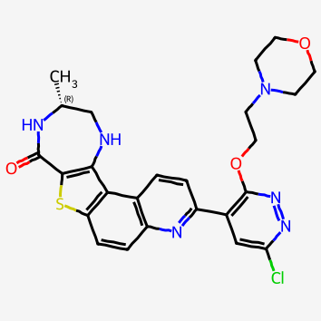 C[C@@H]1CNc2c(sc3ccc4nc(-c5cc(Cl)nnc5OCCN5CCOCC5)ccc4c23)C(=O)N1